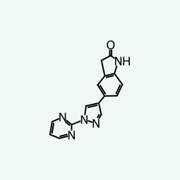 O=C1Cc2cc(-c3cnn(-c4ncccn4)c3)ccc2N1